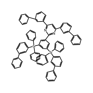 c1ccc(-c2cccc(-c3cc(-c4cccc(-c5ccccc5)c4)nc(-c4cc([Si](c5ccccc5)(c5ccccc5)c5cccc(-c6ccccc6)c5)cc([Si](c5ccccc5)(c5ccccc5)c5cccc(-c6ccccc6)c5)c4)n3)c2)cc1